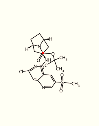 CC(C)(C)OC(=O)N1[C@@H]2CC[C@H]1C[C@H](Nc1nc(Cl)cc3ncc(S(C)(=O)=O)cc13)C2